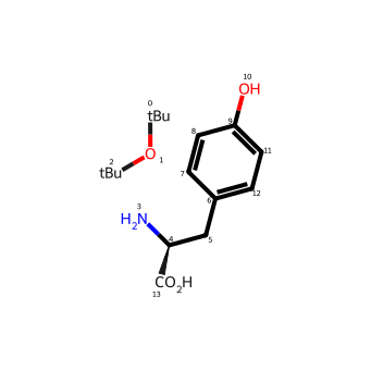 CC(C)(C)OC(C)(C)C.N[C@@H](Cc1ccc(O)cc1)C(=O)O